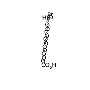 O=C(O)CCOCCOCCOCCOCCOCCOCCOCCOCCOCCOCCOCCOCCNC(=O)CBr